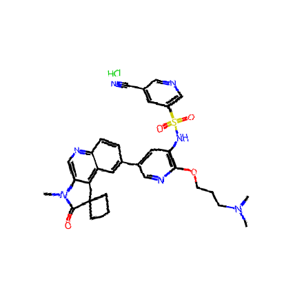 CN(C)CCCOc1ncc(-c2ccc3ncc4c(c3c2)C2(CCC2)C(=O)N4C)cc1NS(=O)(=O)c1cncc(C#N)c1.Cl